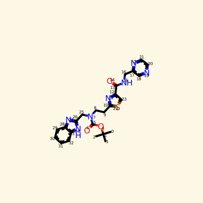 CC(C)(C)OC(=O)N(CCc1nc(C(=O)NCc2cnccn2)cs1)Cc1nc2ccccc2[nH]1